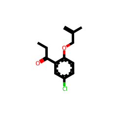 C=C(C)COc1ccc(Cl)cc1C(=O)CC